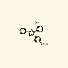 O=C(O)c1ccc(-[n+]2nc(-c3ccccc3)nn2-c2ccccc2)cc1.[Br-]